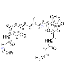 CC(/C=C/[C@H]1O[C@H](CNC(=O)CCN)C[C@@]2(CO2)[C@@H]1O)=C\C[C@@H]1C[C@H](C)[C@H](NC(=O)/C=C\C(C)C)C[C@@H]1C